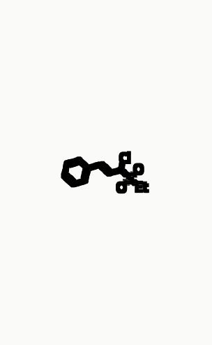 CCS(=O)(=O)C(Cl)C=Cc1ccccc1